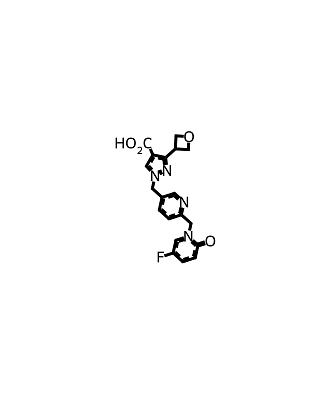 O=C(O)c1cn(Cc2ccc(Cn3cc(F)ccc3=O)nc2)nc1C1COC1